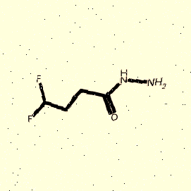 NNC(=O)CCC(F)F